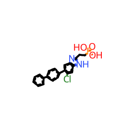 O=P(O)(O)CCc1nc2cc(-c3ccc(-c4ccccc4)cc3)c(Cl)cc2[nH]1